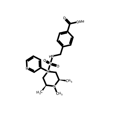 COC(=O)c1ccc(CNS(=O)(=O)[N+]2(c3cccnc3)C[C@@H](C)N(C)[C@@H](C)C2)cc1